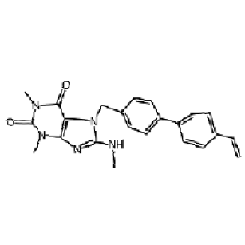 C=Cc1ccc(-c2ccc(Cn3c(NC)nc4c3c(=O)n(C)c(=O)n4C)cc2)cc1